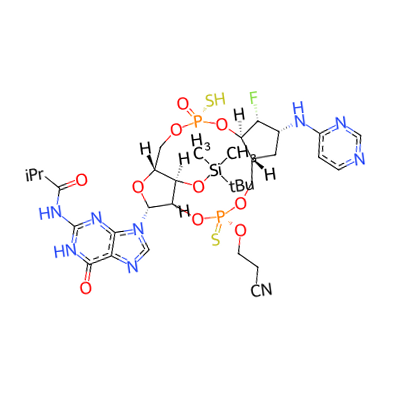 CC(C)C(=O)Nc1nc2c(ncn2[C@@H]2O[C@@H]3CO[P@](=O)(S)O[C@@H]4[C@@H](CO[P@](=S)(OCCC#N)O[C@@H]2[C@@H]3O[Si](C)(C)C(C)(C)C)C[C@@H](Nc2ccncn2)[C@H]4F)c(=O)[nH]1